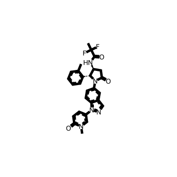 Cc1ccccc1[C@@H]1[C@@H](NC(=O)C(C)(F)F)CC(=O)N1c1ccc2c(cnn2-c2ccc(=O)n(C)c2)c1